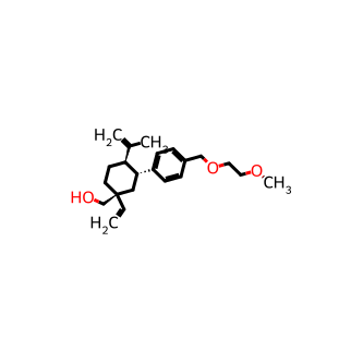 C=C[C@]1(CO)CC[C@@H](C(=C)C)[C@H](c2ccc(COCCOC)cc2)C1